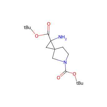 CC(C)(C)OC(=O)N1CCC2(C1)CC2(N)C(=O)OC(C)(C)C